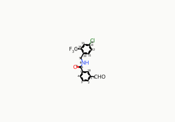 O=Cc1cccc(C(=O)NCc2ccc(Cl)cc2C(F)(F)F)c1